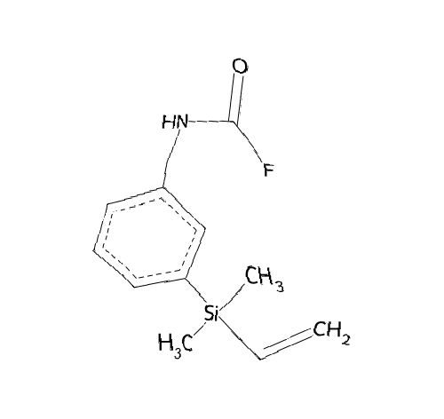 C=C[Si](C)(C)c1cccc(NC(=O)F)c1